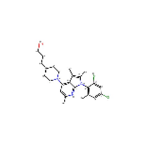 Cc1cc(N2CCC(CCCO)CC2)c2c(C)c(C)n(-c3c(C)cc(Cl)cc3Br)c2n1